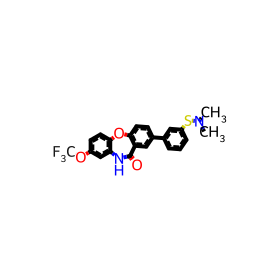 CN(C)Sc1cccc(-c2ccc3c(c2)C(=O)Nc2cc(OC(F)(F)F)ccc2O3)c1